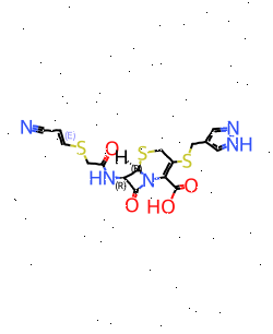 N#C/C=C/SCC(=O)N[C@@H]1C(=O)N2C(C(=O)O)=C(SCc3cn[nH]c3)CS[C@H]12